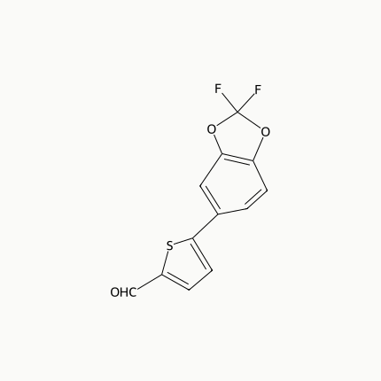 O=Cc1ccc(-c2ccc3c(c2)OC(F)(F)O3)s1